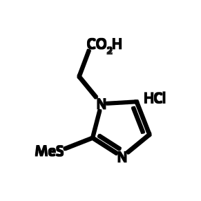 CSc1nccn1CC(=O)O.Cl